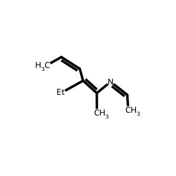 C\C=C/C(CC)=C(C)\N=C/C